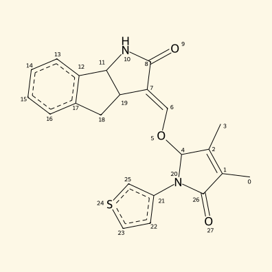 CC1=C(C)C(OC=C2C(=O)NC3c4ccccc4CC23)N(c2ccsc2)C1=O